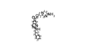 CC(CC1=NCCC(N)N=C1)OCC(=O)N1Cc2cnc(NCC3Cc4ccccc4C3)nc2C1